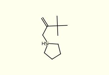 C=C(C[SiH]1CCCC1)C(C)(C)C